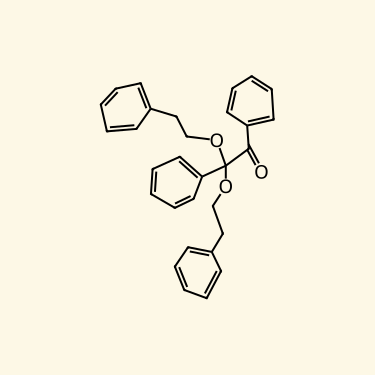 O=C(c1ccccc1)C(OCCc1ccccc1)(OCCc1ccccc1)c1ccccc1